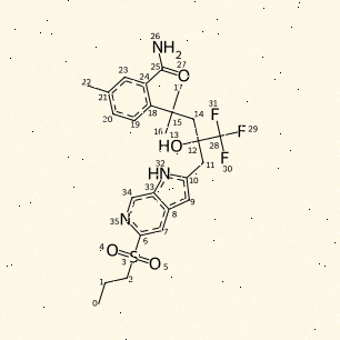 CCCS(=O)(=O)c1cc2cc(CC(O)(CC(C)(C)c3ccc(C)cc3C(N)=O)C(F)(F)F)[nH]c2cn1